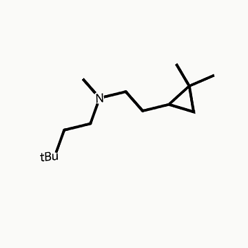 CN(CCC1CC1(C)C)CCC(C)(C)C